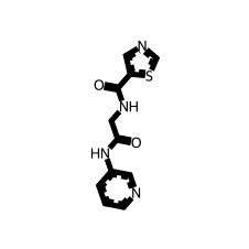 O=C(CNC(=O)c1cncs1)Nc1cccnc1